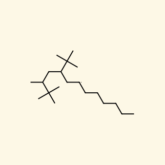 CCCCCC[CH]CC(CC(C)C(C)(C)C)C(C)(C)C